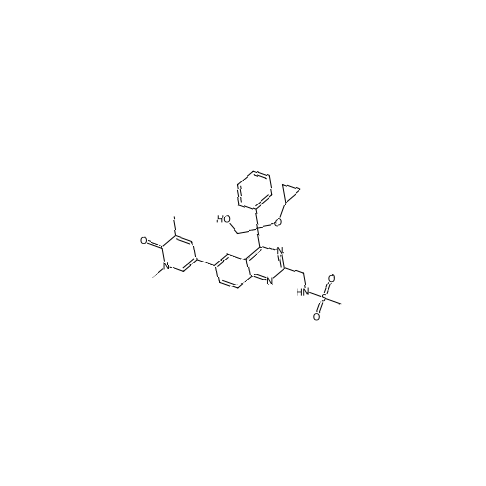 Cc1cc(-c2ccc3nc(CNS(C)(=O)=O)nc(C(CO)(OC4CC4)c4ccccc4)c3c2)cn(C)c1=O